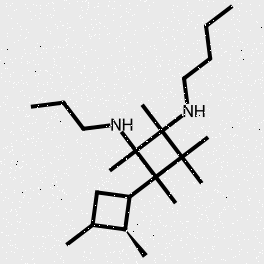 CCCCNC1(C)C(C)(C)C(C)(C2CC(C)[C@@H]2C)C1(C)NCCC